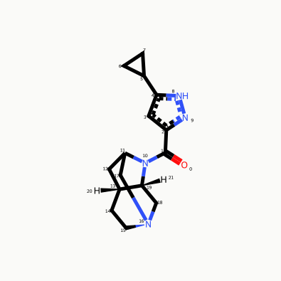 O=C(c1cc(C2CC2)[nH]n1)N1C2C[C@H]3CC[N@@](C2)C[C@H]31